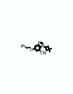 CC(C)CCOc1cc(C#N)c2c(c1)ncn2C1CC(C)(C)C1